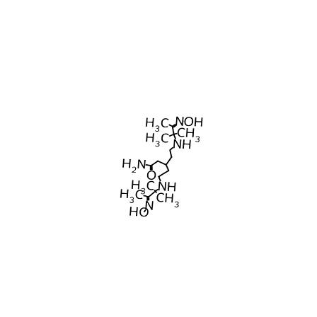 CC(=NO)C(C)(C)NCCC(CCNC(C)(C)C(C)=NO)CC(N)=O